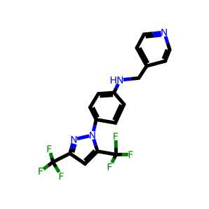 FC(F)(F)c1cc(C(F)(F)F)n(-c2ccc(NCc3ccncc3)cc2)n1